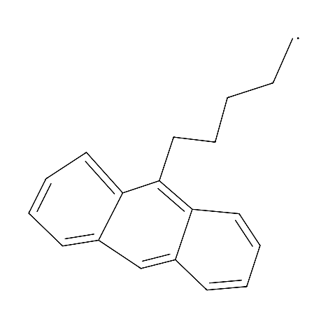 [CH2]CCCCc1c2ccccc2cc2ccccc12